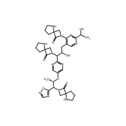 CC(O)c1ncc(CC(O)C(c2ncc(O[C@H](C)C(c3ncno3)N3CC4(CCCN4)C3=O)cn2)N2CC3(CCCN3)C2=O)c(N2CC3(CCCN3)C2=O)n1